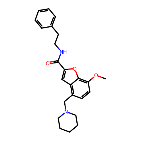 COc1ccc(CN2CCCCC2)c2cc(C(=O)NCCc3ccccc3)oc12